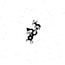 Fc1cc2[nH]c3c(c2cc1Cl)CCN(c1nccc(C(F)(F)F)n1)C3CC1CC1